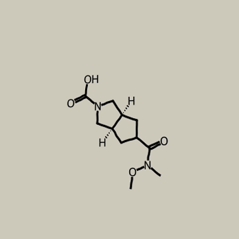 CON(C)C(=O)C1C[C@@H]2CN(C(=O)O)C[C@@H]2C1